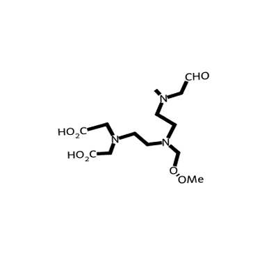 COOCN(CCN(C)CC=O)CCN(CC(=O)O)CC(=O)O